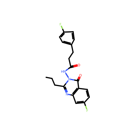 CCCc1nc2cc(F)ccc2c(=O)n1NC(=O)CCc1ccc(F)cc1